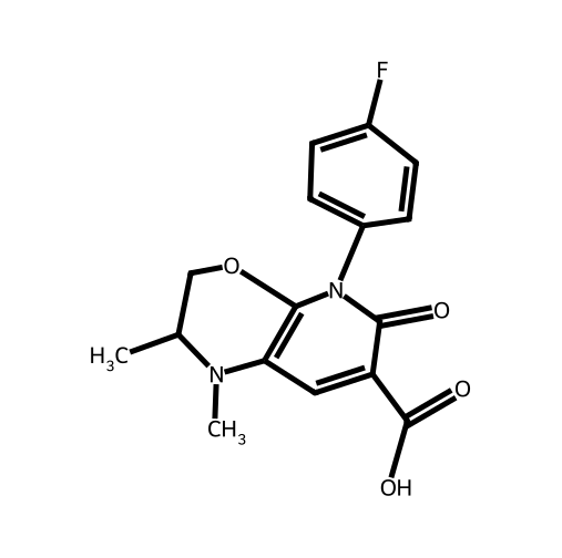 CC1COc2c(cc(C(=O)O)c(=O)n2-c2ccc(F)cc2)N1C